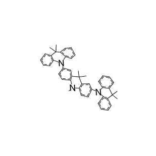 CN1c2ccc(N3c4ccccc4C(C)(C)c4ccccc43)cc2C(C)(C)c2cc(N3c4ccccc4C(C)(C)c4ccccc43)ccc21